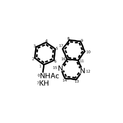 CC(=O)Nc1ccccc1.[KH].c1ccc2nccnc2c1